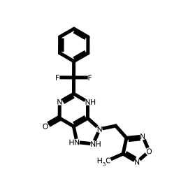 Cc1nonc1CN1NNc2c1[nH]c(C(F)(F)c1ccccc1)nc2=O